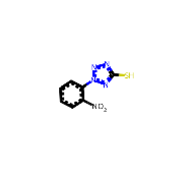 O=[N+]([O-])c1ccccc1-n1nnc(S)n1